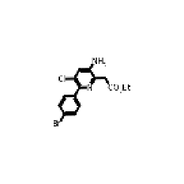 CCOC(=O)Cc1nc(-c2ccc(Br)cc2)c(Cl)cc1N